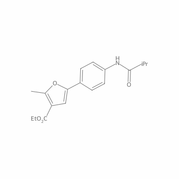 CCOC(=O)c1cc(-c2ccc(NC(=O)C(C)C)cc2)oc1C